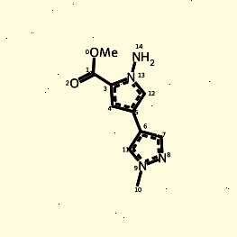 COC(=O)c1cc(-c2cnn(C)c2)cn1N